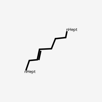 [CH2]CCCCCCCCCC=CCCCCCCCC